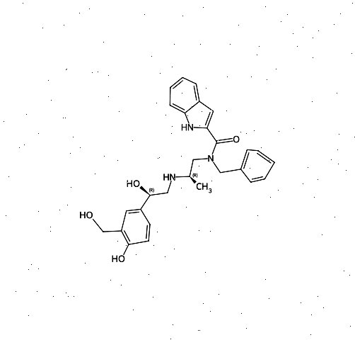 C[C@H](CN(Cc1ccccc1)C(=O)c1cc2ccccc2[nH]1)NC[C@H](O)c1ccc(O)c(CO)c1